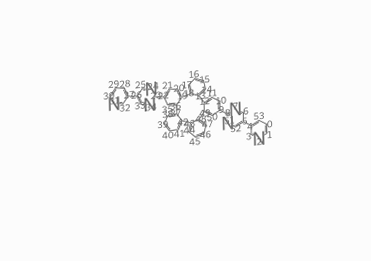 c1cncc(-c2cnc(-c3ccc4c5ccccc5c5ccc(-c6ncc(-c7cccnc7)cn6)cc5c5ccccc5c5ccccc5c4c3)nc2)c1